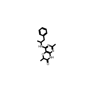 Cc1nc2c(c(NC(C)Cc3ccccc3)n1)OC(C)C(=O)N2